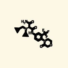 NC(=O)[C@H](C(=O)Nc1ccc(N2CCOCC2=O)c(C(F)(F)F)c1)N(CC1CC1)C1CC1